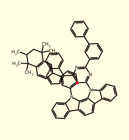 CC1CC(C)(C)c2cc(-c3cccc(-n4c5ccccc5c5ccc6c7ccccc7n(-c7nc(-c8cccc(-c9ccccc9)c8)nc(-c8cccc9ccccc89)n7)c6c54)c3)ccc2C1(C)C